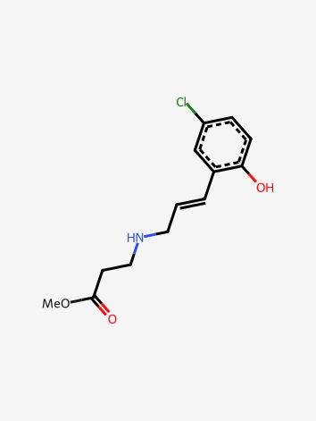 COC(=O)CCNC/C=C/c1cc(Cl)ccc1O